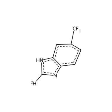 [2H]c1nc2ccc(C(F)(F)F)cc2[nH]1